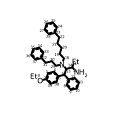 CCOc1ccc(C(c2ccccc2)C(C(N)CC)N(CCCCCc2ccccc2)CCCc2ccccc2)cc1